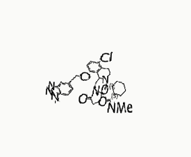 CNC(=O)[C@H]1CCCC[C@H]1C(=O)N1CCc2c(Cl)ccc(OCc3ccc4c(c3)nnn4C)c2C1CN1CCCC1=O